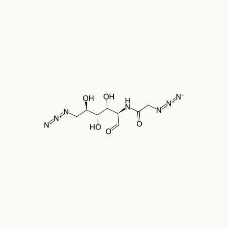 [N-]=[N+]=NCC(=O)N[C@@H](C=O)[C@@H](O)[C@H](O)[C@H](O)CN=[N+]=[N-]